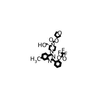 Cc1ccc2c(N3CCN(C(=O)O[C@@H]4CCOC4)[C@@H](CO)C3)nc(-c3ccccc3OC(=O)C(F)(F)F)nc2c1